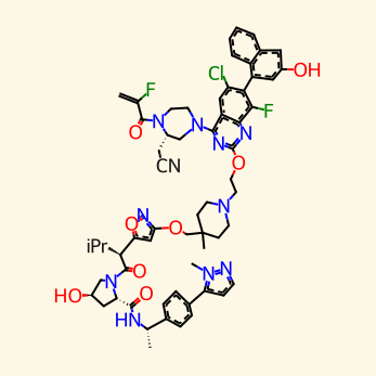 C=C(F)C(=O)N1CCN(c2nc(OCCN3CCC(C)(COc4cc([C@@H](C(=O)N5C[C@H](O)C[C@H]5C(=O)N[C@@H](C)c5ccc(-c6ccnn6C)cc5)C(C)C)on4)CC3)nc3c(F)c(-c4cc(O)cc5ccccc45)c(Cl)cc23)C[C@@H]1CC#N